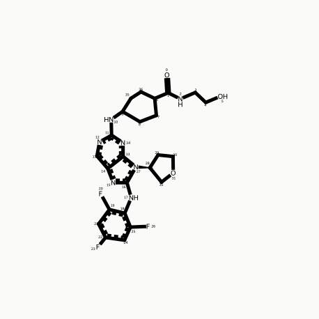 O=C(NCCO)C1CCC(Nc2ncc3nc(Nc4c(F)cc(F)cc4F)n([C@H]4CCOC4)c3n2)CC1